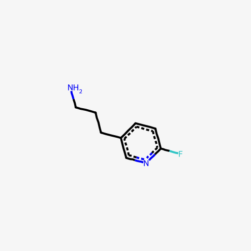 NCCCc1ccc(F)nc1